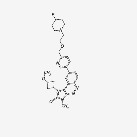 COC1CC(n2c(=O)n(C)c3nnc4ccc(-c5ccc(COCCN6CCC(F)CC6)nc5)cc4c32)C1